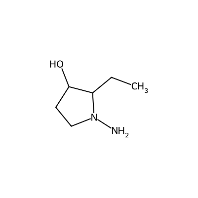 CCC1C(O)CCN1N